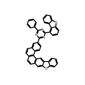 c1ccc(-c2nc(-c3ccc4c(ccc5ccc6cc7oc8ccccc8c7cc6c54)c3)nc(-c3cccc4oc5ccccc5c34)n2)cc1